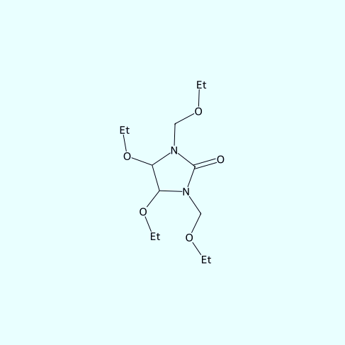 CCOCN1C(=O)N(COCC)C(OCC)C1OCC